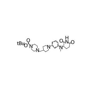 CN(c1cccc(N2CCC(CN3CCN(C(=O)OC(C)(C)C)CC3)CC2)c1)C1CCC(=O)NC1=O